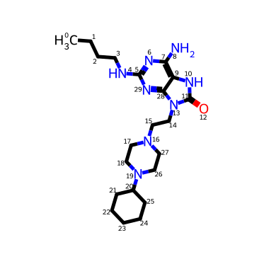 CCCCNc1nc(N)c2[nH]c(=O)n(CCN3CCN(C4CCCCC4)CC3)c2n1